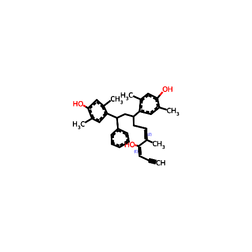 C#C/C=C(O)\C(C)=C/CC(CC(c1ccccc1)c1cc(C)c(O)cc1C)c1cc(C)c(O)cc1C